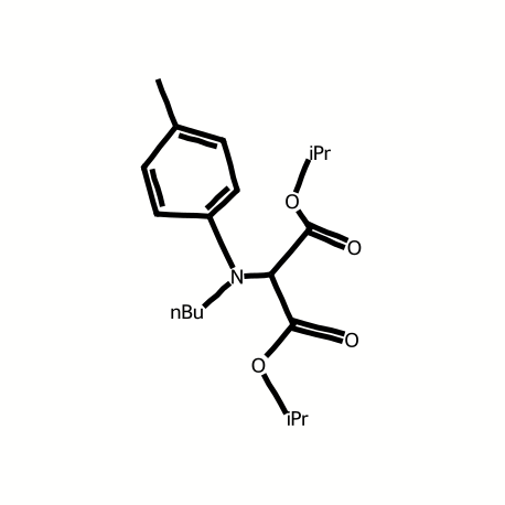 CCCCN(c1ccc(C)cc1)C(C(=O)OC(C)C)C(=O)OC(C)C